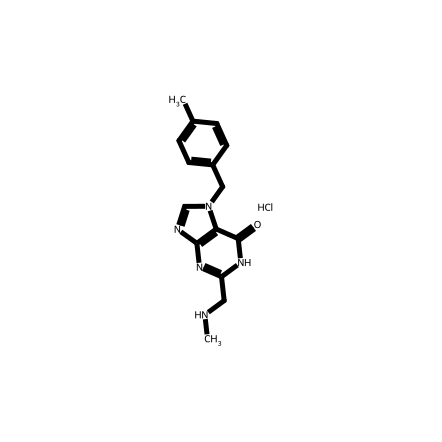 CNCc1nc2ncn(Cc3ccc(C)cc3)c2c(=O)[nH]1.Cl